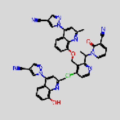 Cc1cc(-n2cc(C#N)cn2)c2cccc(O)c2n1.Cc1cc(-n2cc(C#N)cn2)c2cccc(OCc3c(Cl)ccnc3C(C)n3cccc(C#N)c3=O)c2n1